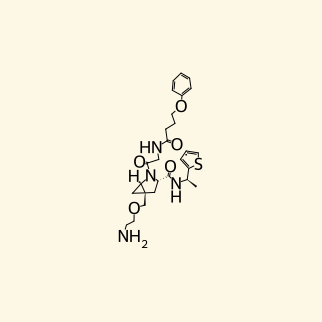 C[C@@H](NC(=O)[C@@H]1C[C@]2(COCCN)C[C@@H]2N1C(=O)CNC(=O)CCCOc1ccccc1)c1c[c]cs1